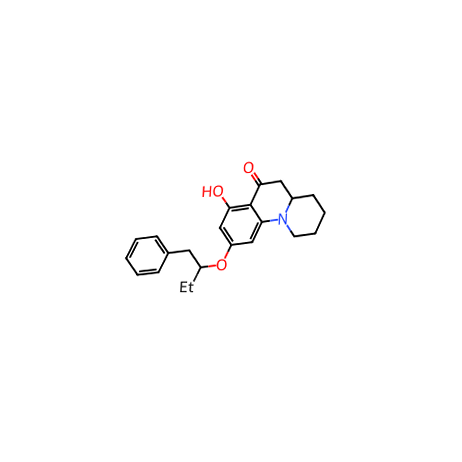 CCC(Cc1ccccc1)Oc1cc(O)c2c(c1)N1CCCCC1CC2=O